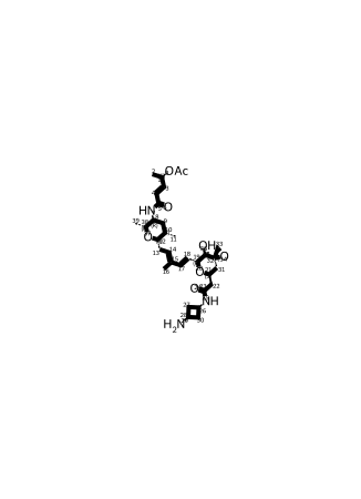 CC(=O)O[C@@H](C)C=CC(=O)N[C@@H]1C[C@H](C)[C@H](CC=C(C)C=C[C@H]2O[C@H](CC(=O)N[C@H]3C[C@H](N)C3)C[C@@]3(CO3)[C@@H]2O)O[C@@H]1C